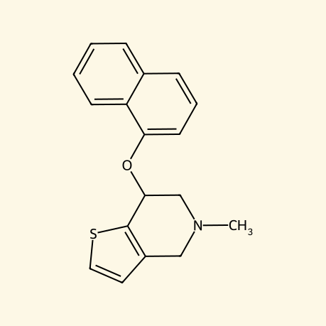 CN1Cc2ccsc2C(Oc2cccc3ccccc23)C1